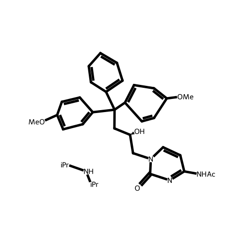 CC(C)NC(C)C.COc1ccc(C(C[C@H](O)Cn2ccc(NC(C)=O)nc2=O)(c2ccccc2)c2ccc(OC)cc2)cc1